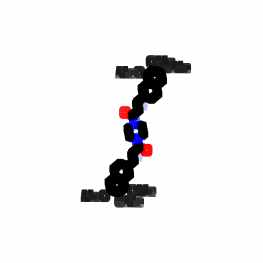 COc1cc2c(c(OC)c1OC)C=C(/C=C/C(=O)N1CCN(C(=O)/C=C/C3=Cc4c(cc(OC)c(OC)c4OC)CC3)CC1)CC2